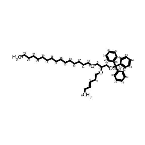 CCC=CCCOC(COCCCCCCCCCCCCCCCC)COC(c1ccccc1)(c1ccccc1)c1ccccc1